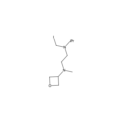 CC(C)N(CI)CCN(C)C1COC1